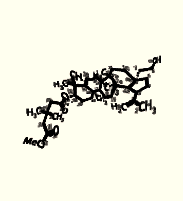 C=C(C)C1CC[C@]2(CCO)CC[C@]3(C)C(CCC4[C@@]5(C)CC[C@H](OC(=O)CC(C)(C)CC(=O)OC)C(C)(C)C5CC[C@]43C)C12